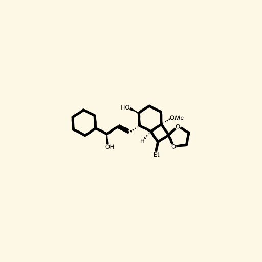 CCC1[C@H]2[C@H](/C=C/[C@@H](O)C3CCCCC3)[C@@H](O)CC[C@@]2(OC)C12OCCO2